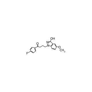 COc1ccc2c(c1)c(O)nn2CCCC(=O)c1ccc(F)cc1